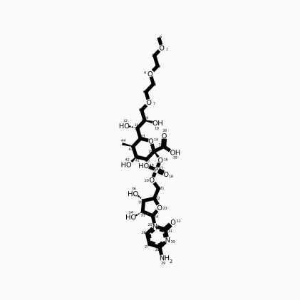 COCCOCCOC[C@@H](O)[C@@H](O)C1O[C@](OP(=O)(O)OCC2OC(n3ccc(N)nc3=O)[C@H](O)[C@@H]2O)(C(=O)O)C[C@@H](O)[C@H]1C